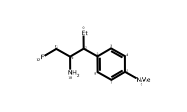 CCC(c1ccc(NC)cc1)C(N)CF